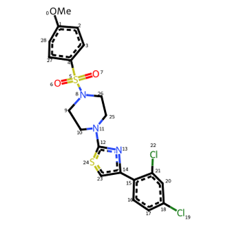 COc1ccc(S(=O)(=O)N2CCN(c3nc(-c4ccc(Cl)cc4Cl)cs3)CC2)cc1